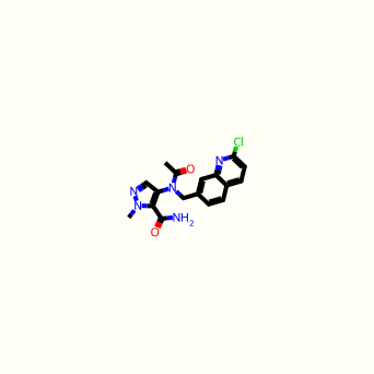 CC(=O)N(Cc1ccc2ccc(Cl)nc2c1)c1cnn(C)c1C(N)=O